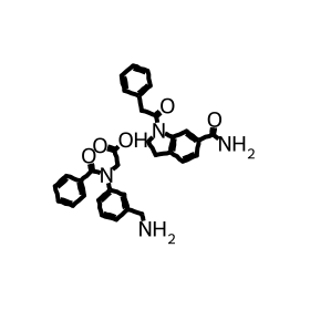 NC(=O)c1ccc2c(c1)N(C(=O)Cc1ccccc1)CC2.NCc1cccc(N(CC(=O)O)C(=O)c2ccccc2)c1